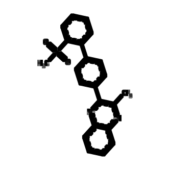 CS(=O)(=O)c1ccccc1-c1ccc(-c2nc3ccccc3nc2C(F)(F)F)cc1